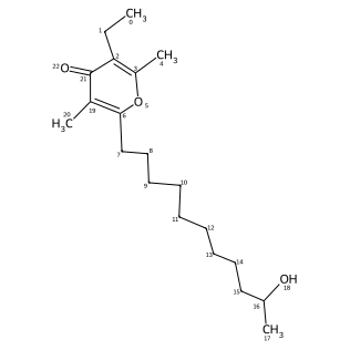 CCc1c(C)oc(CCCCCCCCCC(C)O)c(C)c1=O